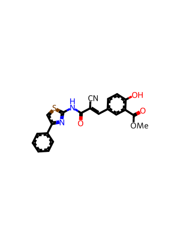 COC(=O)c1cc(/C=C(\C#N)C(=O)Nc2nc(-c3ccccc3)cs2)ccc1O